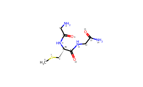 CSC[C@H](NC(=O)CN)C(=O)NCC(N)=O